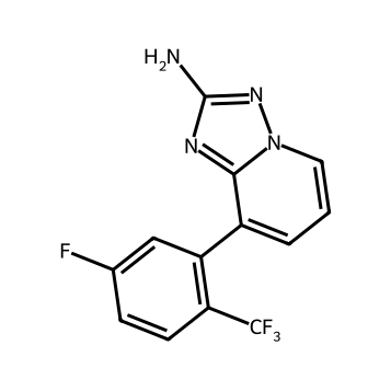 Nc1nc2c(-c3cc(F)ccc3C(F)(F)F)cccn2n1